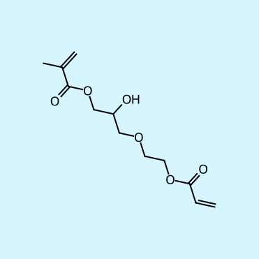 C=CC(=O)OCCOCC(O)COC(=O)C(=C)C